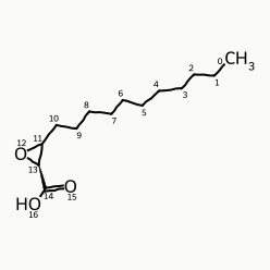 CCCCCCCCCCCC1O[C@@H]1C(=O)O